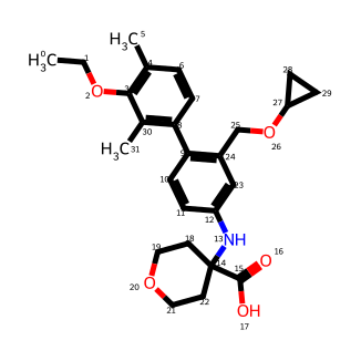 CCOc1c(C)ccc(-c2ccc(NC3(C(=O)O)CCOCC3)cc2COC2CC2)c1C